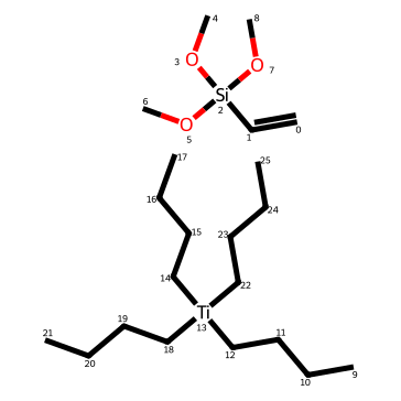 C=C[Si](OC)(OC)OC.CCC[CH2][Ti]([CH2]CCC)([CH2]CCC)[CH2]CCC